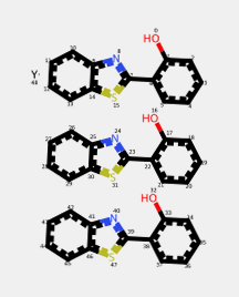 Oc1ccccc1-c1nc2ccccc2s1.Oc1ccccc1-c1nc2ccccc2s1.Oc1ccccc1-c1nc2ccccc2s1.[Y]